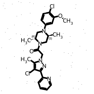 COc1cc(N2C[C@@H](C)N(C(=O)Cn3nc(-c4ccccn4)c(Cl)c3C)C[C@@H]2C)ccc1Cl